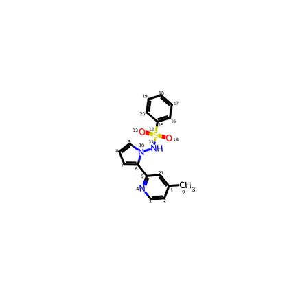 Cc1ccnc(-c2cccn2NS(=O)(=O)c2ccccc2)c1